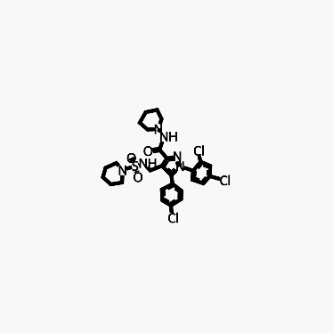 O=C(NN1CCCCC1)c1nn(-c2ccc(Cl)cc2Cl)c(-c2ccc(Cl)cc2)c1CNS(=O)(=O)N1CCCCC1